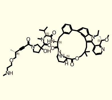 CCn1c(-c2cccnc2[C@H](C)OC)c2c3cc(ccc31)-c1cccc(c1)C[C@H](NC(=O)[C@H](C(C)C)N(C)C(=O)C1(O)CCN(C(=O)C#C[C@@H](C)COCCNC)C1)C(=O)N1CCC[C@H](N1)C(=O)OCC(C)(C)C2